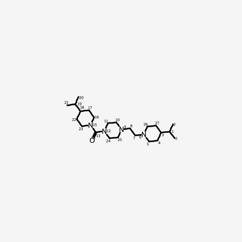 CC(C)C1CCN(CCN2CCN(C(=O)N3CCC(C(C)C)CC3)CC2)CC1